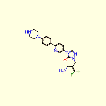 NCC(Cn1ncn(-c2ccc(-c3ccc(N4CCNCC4)cc3)nc2)c1=O)=C(F)F